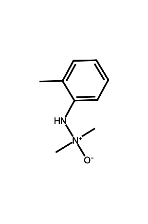 Cc1ccccc1N[N+](C)(C)[O-]